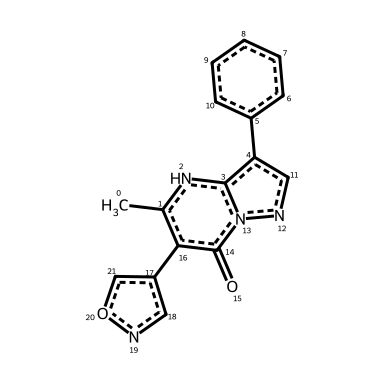 Cc1[nH]c2c(-c3ccccc3)cnn2c(=O)c1-c1cnoc1